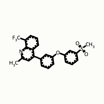 Cc1cc(-c2cccc(Oc3cccc(S(C)(=O)=O)c3)c2)c2cccc(C(F)(F)F)c2n1